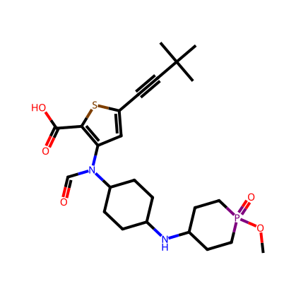 COP1(=O)CCC(NC2CCC(N(C=O)c3cc(C#CC(C)(C)C)sc3C(=O)O)CC2)CC1